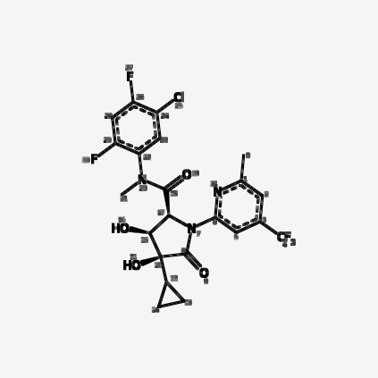 Cc1cc(C(F)(F)F)cc(N2C(=O)[C@](O)(C3CC3)[C@@H](O)[C@H]2C(=O)N(C)c2cc(Cl)c(F)cc2F)n1